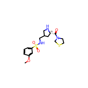 COc1cccc(S(=O)(=O)NCC2CN[C@H](C(=O)N3CCSC3)C2)c1